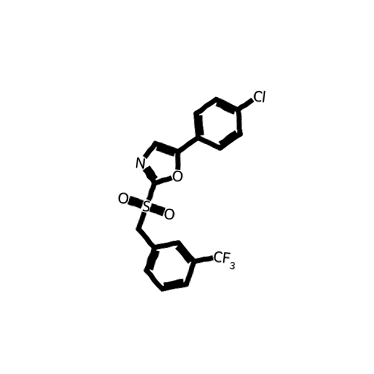 O=S(=O)(Cc1cccc(C(F)(F)F)c1)c1ncc(-c2ccc(Cl)cc2)o1